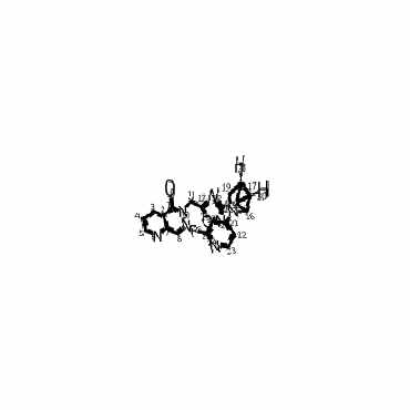 O=c1c2cccnc2cnn1Cc1nc([C@@]23C4[C@H]2[C@H]3CN4c2ccnc(F)c2)no1